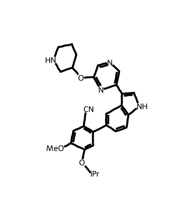 COc1cc(C#N)c(-c2ccc3[nH]cc(-c4cncc(OC5CCCNC5)n4)c3c2)cc1OC(C)C